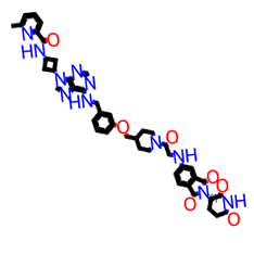 Cc1cccc(C(=O)NC2CC(n3cnc4c(NCc5cccc(OCC6CCN(C(=O)CNc7ccc8c(c7)C(=O)N([C@H]7CCC(=O)NC7=O)C8=O)CC6)c5)ncnc43)C2)n1